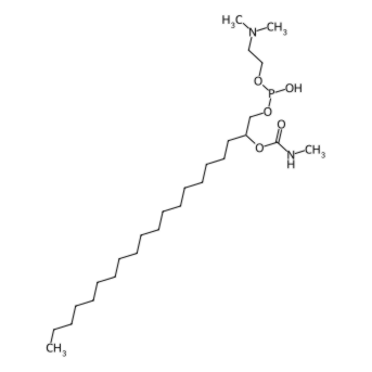 CCCCCCCCCCCCCCCCCCC(COP(O)OCCN(C)C)OC(=O)NC